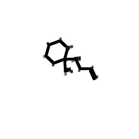 C=CCNC1([SiH3])CCCCO1